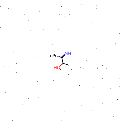 [CH2]C(O)C(=N)CCC